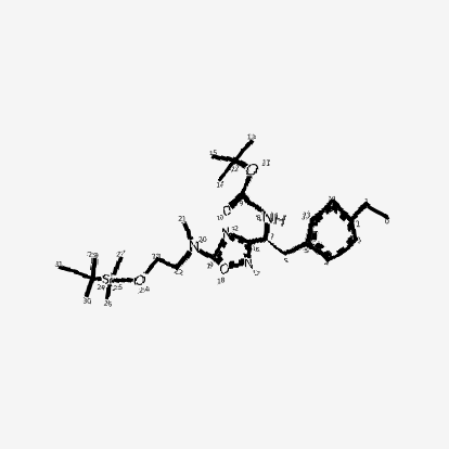 CCc1ccc(C[C@H](NC(=O)OC(C)(C)C)c2noc(N(C)CCO[Si](C)(C)C(C)(C)C)n2)cc1